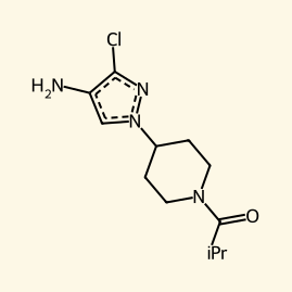 CC(C)C(=O)N1CCC(n2cc(N)c(Cl)n2)CC1